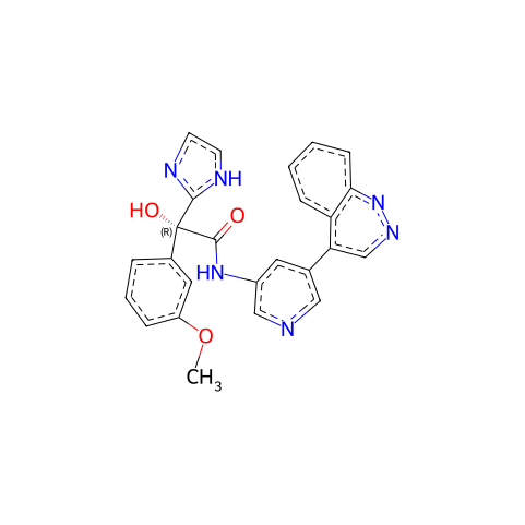 COc1cccc([C@](O)(C(=O)Nc2cncc(-c3cnnc4ccccc34)c2)c2ncc[nH]2)c1